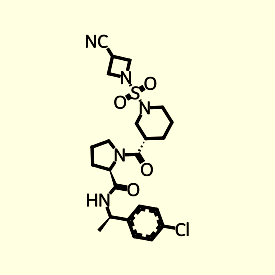 C[C@@H](NC(=O)[C@H]1CCCN1C(=O)[C@H]1CCCN(S(=O)(=O)N2CC(C#N)C2)C1)c1ccc(Cl)cc1